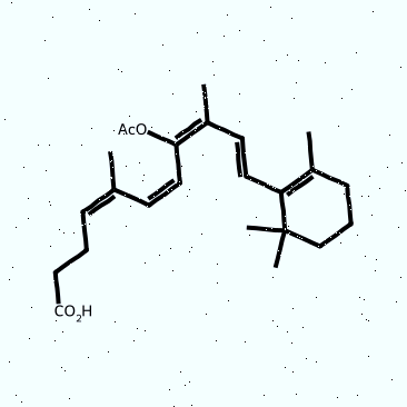 CC(=O)OC(/C=C\C(C)=C/CCC(=O)O)=C(C)C=CC1=C(C)CCCC1(C)C